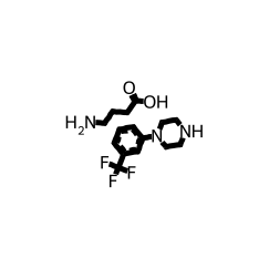 FC(F)(F)c1cccc(N2CCNCC2)c1.NCCCC(=O)O